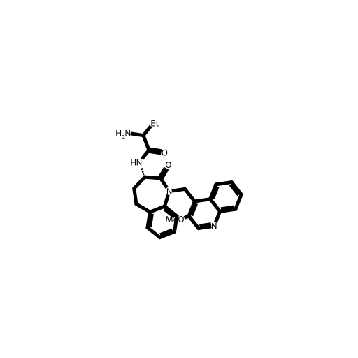 CCC(N)C(=O)N[C@H]1CCc2ccccc2N(Cc2c(OC)cnc3ccccc23)C1=O